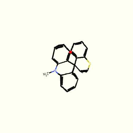 CN1c2ccccc2C2(c3ccccc3Sc3ccccc32)c2ccccc21